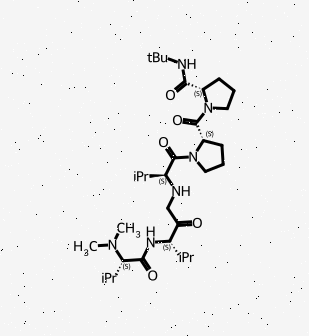 CC(C)[C@H](NC(=O)[C@H](C(C)C)N(C)C)C(=O)CN[C@H](C(=O)N1CCC[C@H]1C(=O)N1CCC[C@H]1C(=O)NC(C)(C)C)C(C)C